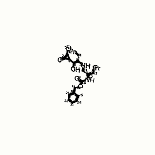 CCC1C(=O)C1C(O)[C@H](CC(C)C)NC[C@@H](CC(C)C)NC(=O)OCc1ccccc1